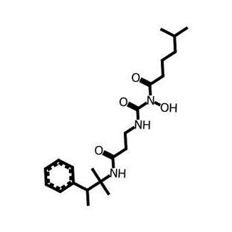 CC(C)CCCC(=O)N(O)C(=O)NCCC(=O)NC(C)(C)C(C)c1ccccc1